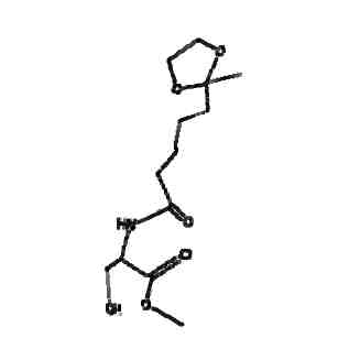 COC(=O)C(CO)NC(=O)CCCCC1(C)OCCO1